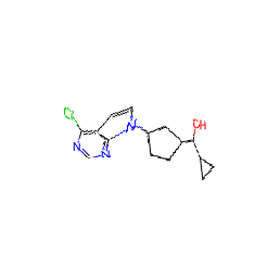 OC(C1CC1)C1CCC(n2ccc3c(Cl)ncnc32)C1